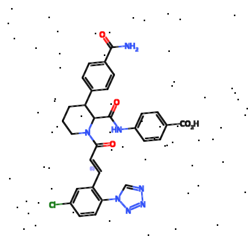 NC(=O)c1ccc(C2CCCN(C(=O)/C=C/c3cc(Cl)ccc3-n3cnnn3)C2C(=O)Nc2ccc(C(=O)O)cc2)cc1